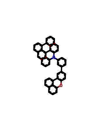 c1ccc(-c2cccc3cccc(-c4ccccc4N(c4ccccc4)c4cccc(-c5ccc6c(c5)-c5cccc7cccc(c57)O6)c4)c23)cc1